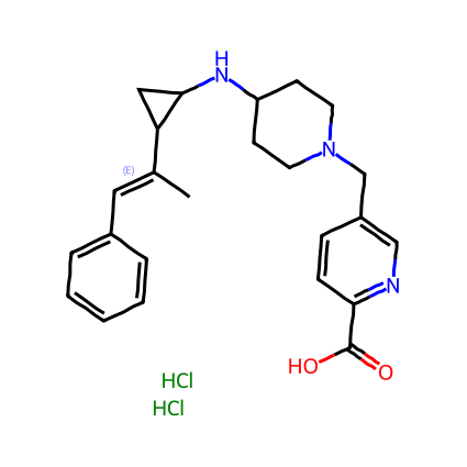 C/C(=C\c1ccccc1)C1CC1NC1CCN(Cc2ccc(C(=O)O)nc2)CC1.Cl.Cl